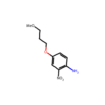 COCCCOc1ccc(N)c([N+](=O)[O-])c1